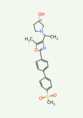 Cc1oc(-c2ccc(-c3ccc(S(C)(=O)=O)cc3)cc2)nc1C(C)N1CC[C@H](O)C1